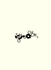 Cc1ccc(OCc2cc(=O)n3ccsc3n2)cc1C